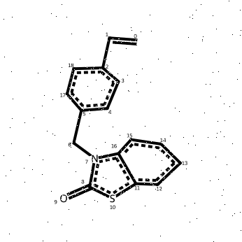 C=Cc1ccc(Cn2c(=O)sc3ccccc32)cc1